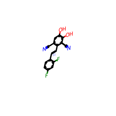 N#Cc1cc(O)c(O)c(C#N)c1/C=C/c1ccc(F)cc1F